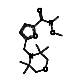 CON(C)C(=O)c1ccc(CN2C(C)(C)COCC2(C)C)o1